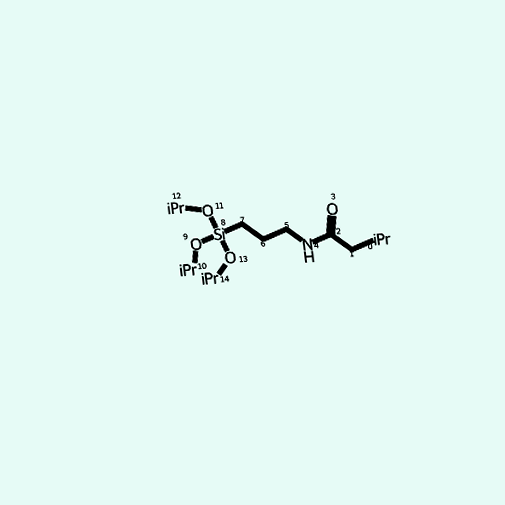 CC(C)CC(=O)NCCC[Si](OC(C)C)(OC(C)C)OC(C)C